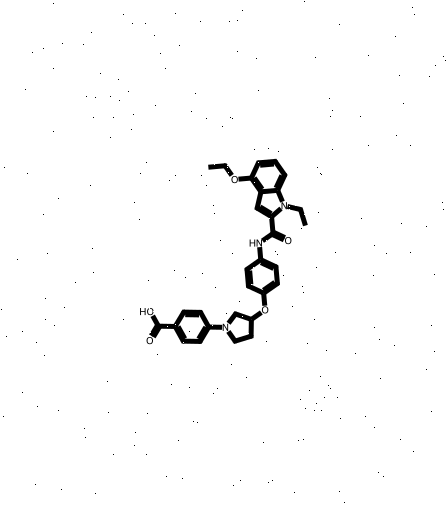 CCOc1cccc2c1cc(C(=O)Nc1ccc(OC3CCN(c4ccc(C(=O)O)cc4)C3)cc1)n2CC